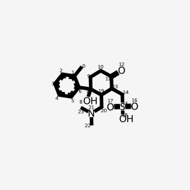 Cc1ccccc1C1(O)CCC(=O)C(CS(=O)(=O)O)C1CN(C)C